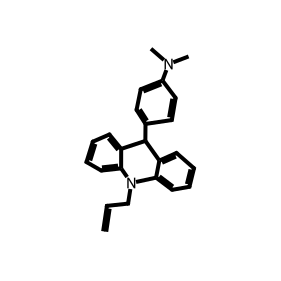 C=CCN1c2ccccc2C(c2ccc(N(C)C)cc2)c2ccccc21